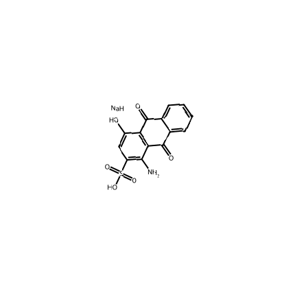 Nc1c(S(=O)(=O)O)cc(O)c2c1C(=O)c1ccccc1C2=O.[NaH]